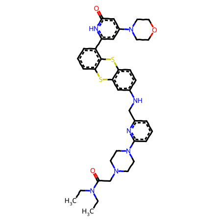 CCN(CC)C(=O)CN1CCN(c2cccc(CNc3ccc4c(c3)Sc3cccc(-c5cc(N6CCOCC6)cc(=O)[nH]5)c3S4)n2)CC1